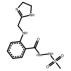 CS(=O)(=O)NNC(=O)c1ccccc1NCC1=NCCN1